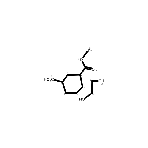 CC(C)OC(=O)C1CCCC(C(=O)O)C1.OCCO